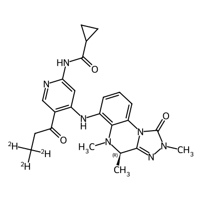 [2H]C([2H])([2H])CC(=O)c1cnc(NC(=O)C2CC2)cc1Nc1cccc2c1N(C)[C@H](C)c1nn(C)c(=O)n1-2